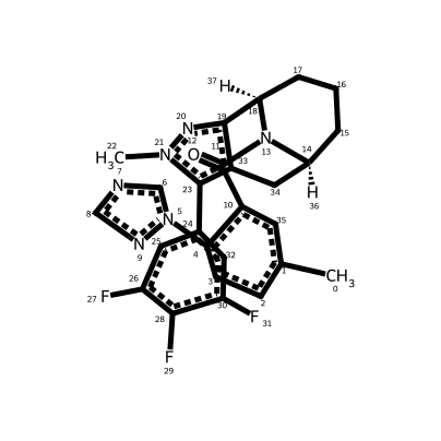 Cc1ccc(-n2cncn2)c(C(=O)N2[C@H]3CCC[C@@H]2c2nn(C)c(-c4cc(F)c(F)c(F)c4)c2C3)c1